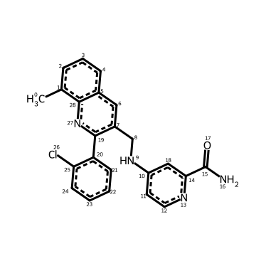 Cc1cccc2cc(CNc3ccnc(C(N)=O)c3)c(-c3ccccc3Cl)nc12